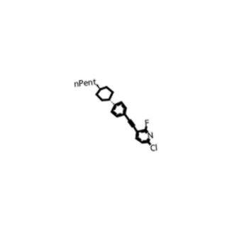 CCCCC[C@H]1CC[C@H](c2ccc(C#Cc3ccc(Cl)nc3F)cc2)CC1